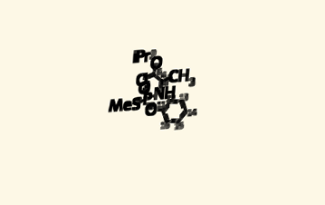 CSP(=O)(N[C@H](C)C(=O)OC(C)C)Oc1ccccc1